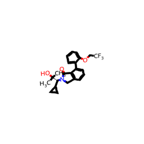 CC(C)(O)[C@@H](C1CC1)N1Cc2cccc(-c3ccccc3OCC(F)(F)F)c2C1=O